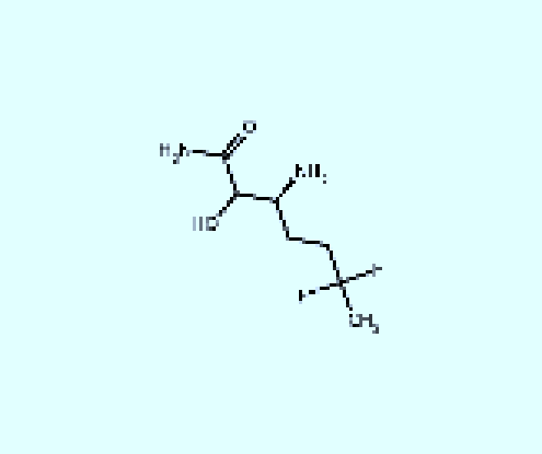 CC(F)(F)CC[C@H](N)C(O)C(N)=O